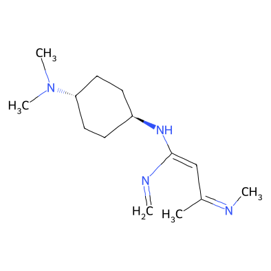 C=N/C(=C\C(C)=N/C)N[C@H]1CC[C@H](N(C)C)CC1